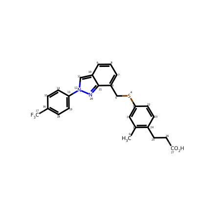 Cc1cc(SCc2cccc3cn(-c4ccc(C(F)(F)F)cc4)nc23)ccc1CCC(=O)O